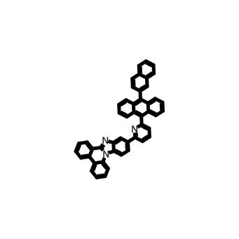 c1cc(-c2ccc3c(c2)nc2c4ccccc4c4ccccc4n32)nc(-c2c3ccccc3c(-c3ccc4ccccc4c3)c3ccccc23)c1